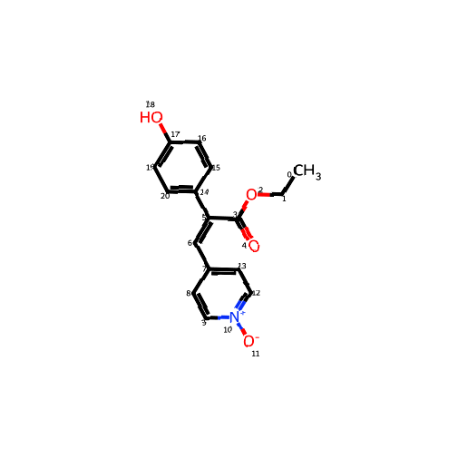 CCOC(=O)C(=Cc1cc[n+]([O-])cc1)c1ccc(O)cc1